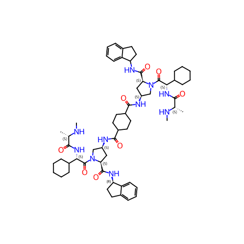 CN[C@@H](C)C(=O)N[C@H](C(=O)N1C[C@@H](NC(=O)C2CCC(C(=O)N[C@H]3C[C@@H](C(=O)N[C@@H]4CCc5ccccc54)N(C(=O)[C@@H](NC(=O)[C@H](C)NC)C4CCCCC4)C3)CC2)C[C@H]1C(=O)NC1CCc2ccccc21)C1CCCCC1